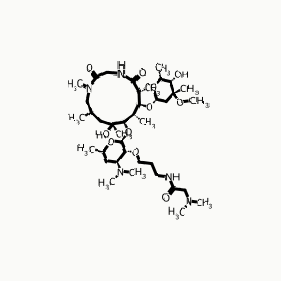 CO[C@]1(C)C[C@H](O[C@H]2[C@H](C)[C@@H](O[C@@H]3O[C@H](C)C[C@H](N(C)C)[C@H]3OCCCNC(=O)CN(C)C)[C@](C)(O)C[C@@H](C)CN(C)C(=O)CNC(=O)[C@@H]2C)O[C@@H](C)[C@@H]1O